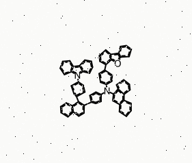 c1ccc2c(-c3ccc(-n4c5ccccc5c5ccccc54)cc3)c(-c3ccc(N(c4ccc(-c5cccc6c5oc5ccccc56)cc4)c4cc5ccccc5c5ccccc45)cc3)ccc2c1